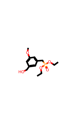 CCOP(=O)(Cc1cc(CO)cc(OC)c1)OCC